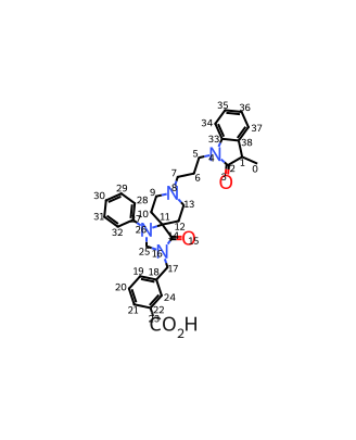 CC1C(=O)N(CCCN2CCC3(CC2)C(=O)N(Cc2cccc(C(=O)O)c2)CN3c2ccccc2)c2ccccc21